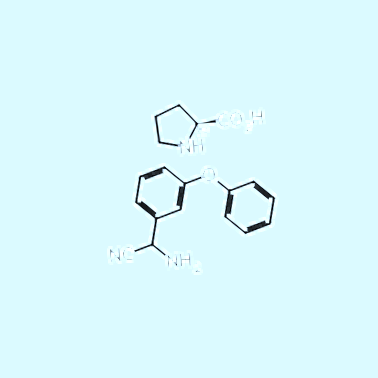 N#CC(N)c1cccc(Oc2ccccc2)c1.O=C(O)[C@@H]1CCCN1